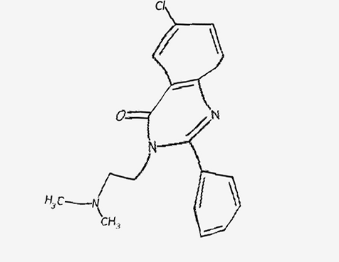 CN(C)CCn1c(-c2ccccc2)nc2ccc(Cl)cc2c1=O